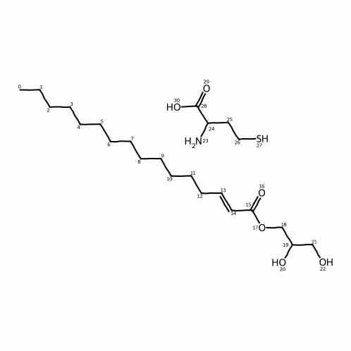 CCCCCCCCCCCCC/C=C/C(=O)OCC(O)CO.NC(CCS)C(=O)O